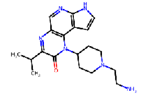 CC(C)c1nc2cnc3[nH]ccc3c2n(C2CCN(CCN)CC2)c1=O